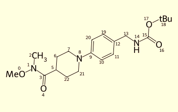 CON(C)C(=O)C1CCN(c2ccc(CNC(=O)OC(C)(C)C)cc2)CC1